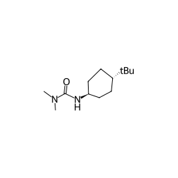 CN(C)C(=O)N[C@H]1CC[C@H](C(C)(C)C)CC1